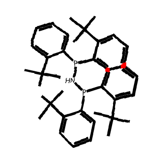 CC(C)(C)c1ccccc1P(NP(c1ccccc1C(C)(C)C)c1ccccc1C(C)(C)C)c1ccccc1C(C)(C)C